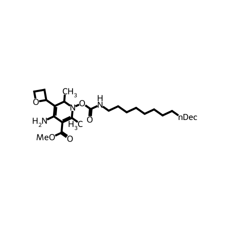 CCCCCCCCCCCCCCCCCCNC(=O)ON1C(C)=C(C(=O)OC)C(N)=C(C2CCO2)C1C